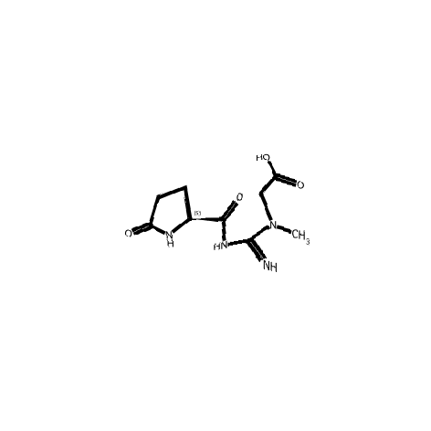 CN(CC(=O)O)C(=N)NC(=O)[C@@H]1CCC(=O)N1